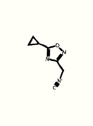 [C-]#[N+]Cc1noc(C2CC2)n1